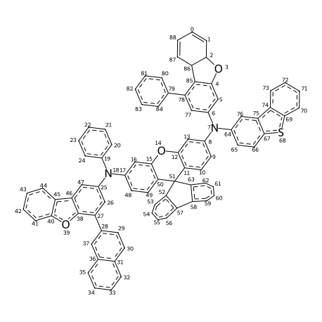 C1=CC2Oc3cc(N(c4ccc5c(c4)Oc4cc(N(c6ccccc6)c6cc(-c7ccc8ccccc8c7)c7oc8ccccc8c7c6)ccc4C54c5ccccc5-c5ccccc54)c4ccc5sc6ccccc6c5c4)cc(-c4ccccc4)c3C2C=C1